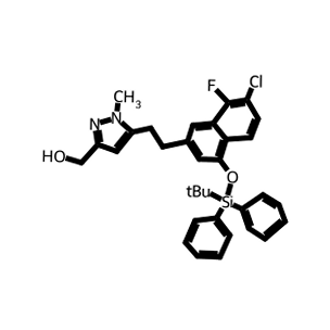 Cn1nc(CO)cc1CCc1cc(O[Si](c2ccccc2)(c2ccccc2)C(C)(C)C)c2ccc(Cl)c(F)c2c1